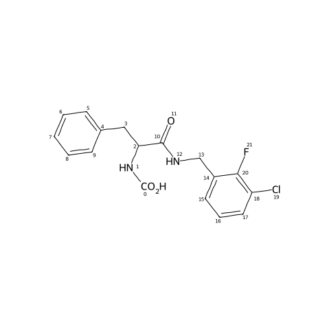 O=C(O)NC(Cc1ccccc1)C(=O)NCc1cccc(Cl)c1F